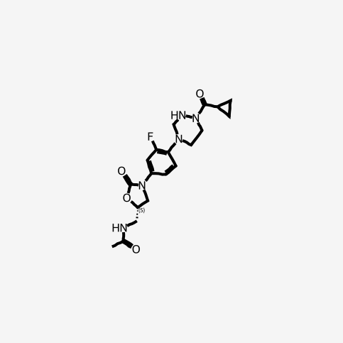 CC(=O)NC[C@H]1CN(c2ccc(N3CCN(C(=O)C4CC4)NC3)c(F)c2)C(=O)O1